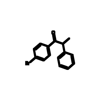 CC(C(=O)c1ccc(Br)cc1)c1ccccc1